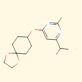 O=C(O)C(C(=O)O)c1cc(OC2CCC3(CC2)OCCO3)nc(C(F)(F)F)n1